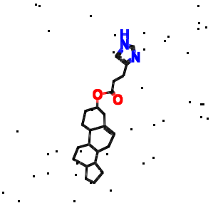 O=C(CCc1c[nH]cn1)OC1CCC2C(=CCC3C4CCCC4CCC23)C1